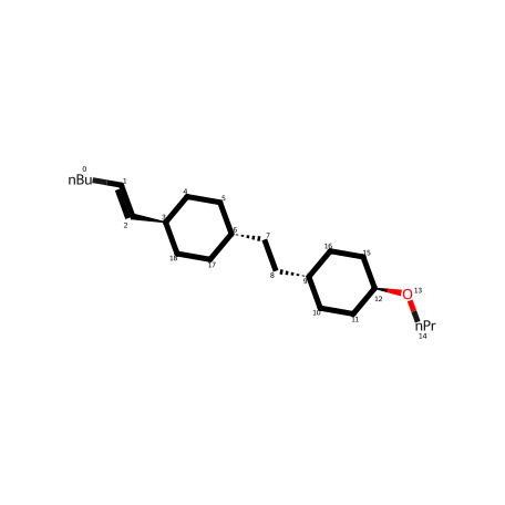 CCCC/C=C/[C@H]1CC[C@H](CC[C@H]2CC[C@H](OCCC)CC2)CC1